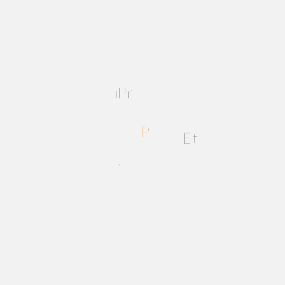 CCP(C(C)C)C(C)(C)C